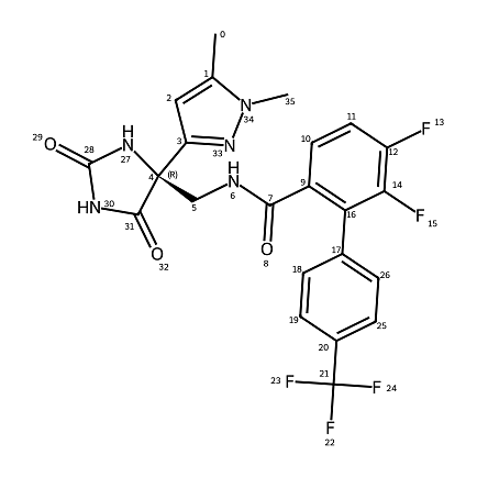 Cc1cc([C@@]2(CNC(=O)c3ccc(F)c(F)c3-c3ccc(C(F)(F)F)cc3)NC(=O)NC2=O)nn1C